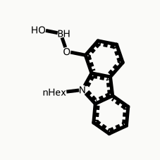 CCCCCCn1c2ccccc2c2cccc(OBO)c21